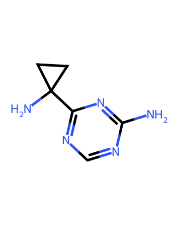 Nc1ncnc(C2(N)CC2)n1